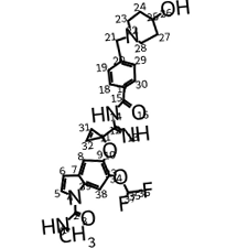 CNC(=O)n1ccc2cc(OC3(C(=N)NC(=O)c4ccc(CN5CCC(O)CC5)cc4)C=C3)c(OC(F)F)cc21